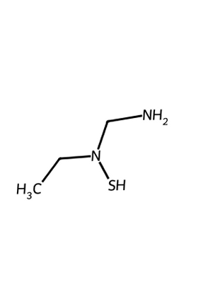 CCN(S)CN